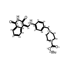 CC(C)(C)OC(=O)N1CCN(Cc2ccc(N/C=C3\C(=O)NC(=O)c4ccccc43)cc2)CC1